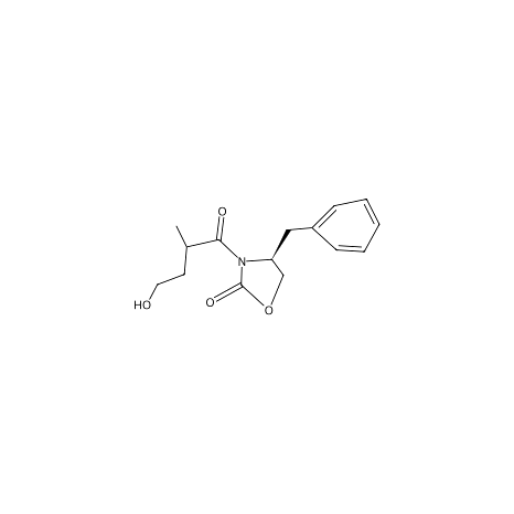 CC(CCO)C(=O)N1C(=O)OC[C@@H]1Cc1ccccc1